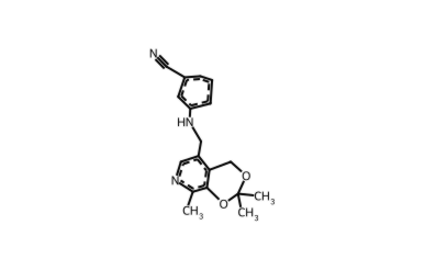 Cc1ncc(CNc2cccc(C#N)c2)c2c1OC(C)(C)OC2